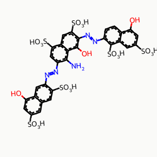 Nc1c(N=Nc2cc3c(O)cc(S(=O)(=O)O)cc3cc2S(=O)(=O)O)cc(S(=O)(=O)O)c2cc(S(=O)(=O)O)c(N=Nc3ccc4c(O)cc(S(=O)(=O)O)cc4c3S(=O)(=O)O)c(O)c12